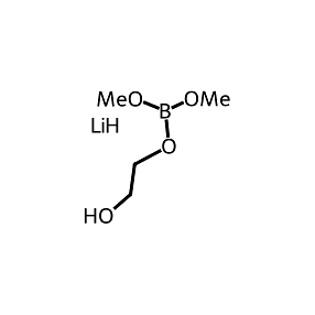 COB(OC)OCCO.[LiH]